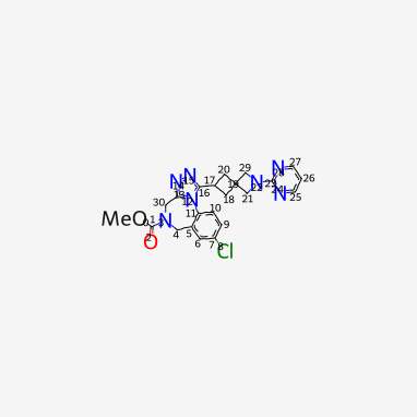 COC(=O)N1Cc2cc(Cl)ccc2-n2c(nnc2C2CC3(C2)CN(c2ncccn2)C3)C1